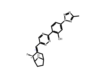 Cc1nnn(-c2ccc(-c3ncc(/C=C4\CC5CCC(N5)[C@H]4F)nn3)c(O)c2)n1